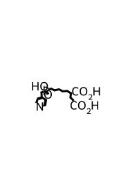 O=C(O)CCC(CCCCCP(=O)(O)Cc1ccncc1)C(=O)O